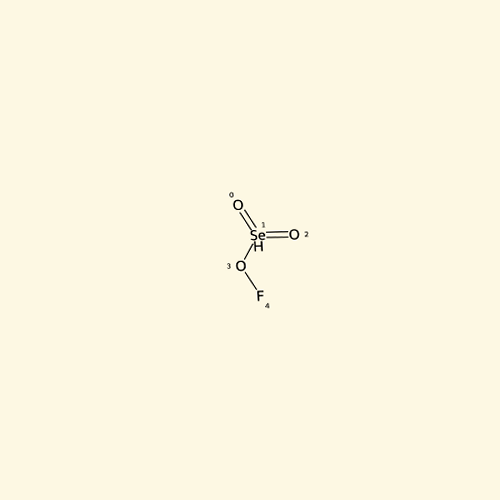 O=[SeH](=O)OF